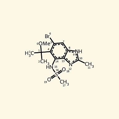 COC(C)(C)c1c(Br)cc2[nH]c(C)nc2c1NS(C)(=O)=O